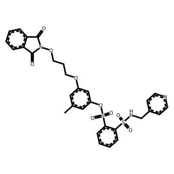 Cc1cc(OCCCON2C(=O)c3ccccc3C2=O)cc(OS(=O)(=O)c2ccccc2S(=O)(=O)NCc2ccncc2)c1